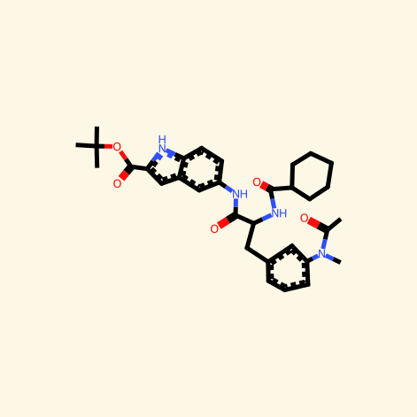 CC(=O)N(C)c1cccc(CC(NC(=O)C2CCCCC2)C(=O)Nc2ccc3[nH]c(C(=O)OC(C)(C)C)cc3c2)c1